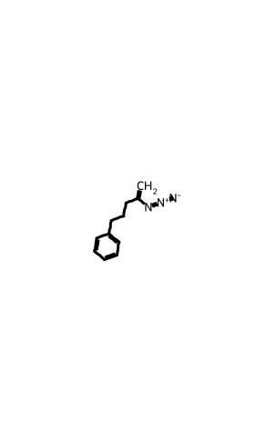 C=C(CCCc1ccccc1)N=[N+]=[N-]